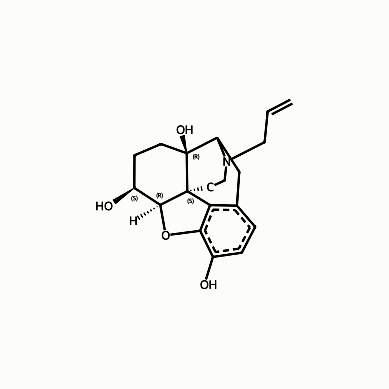 C=CCN1CC[C@]23c4c5ccc(O)c4O[C@H]2[C@@H](O)CC[C@]3(O)C1C5